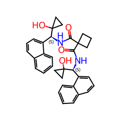 O=C(N[C@@H](c1cccc2ccccc12)C1(O)CC1)C1(C(=O)N[C@@H](c2cccc3ccccc23)C2(O)CC2)CCC1